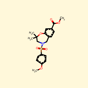 COC(=O)c1ccc2c(c1)OC(C)(C)CN(S(=O)(=O)c1ccc(OC)cc1)C2